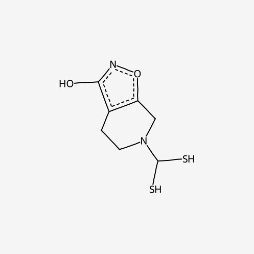 Oc1noc2c1CCN(C(S)S)C2